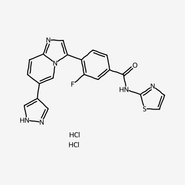 Cl.Cl.O=C(Nc1nccs1)c1ccc(-c2cnc3ccc(-c4cn[nH]c4)cn23)c(F)c1